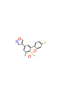 Cc1cc(-c2cnoc2)cc(-c2ccc(F)cc2)c1S(C)(=O)=O